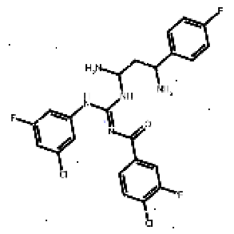 NC(CC(N)c1ccc(F)cc1)N/C(=N\C(=O)c1ccc(Cl)c(F)c1)Nc1cc(F)cc(Cl)c1